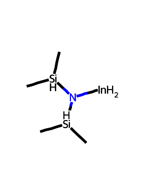 C[SiH](C)[N]([InH2])[SiH](C)C